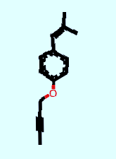 CC#CCOc1ccc(C=C(C)C)cc1